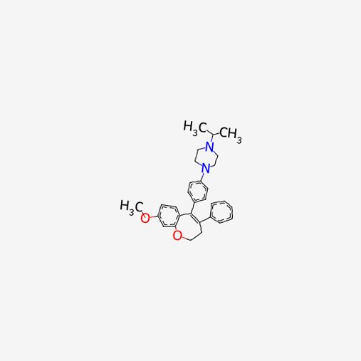 COc1ccc2c(c1)OCCC(c1ccccc1)=C2c1ccc(N2CCN(C(C)C)CC2)cc1